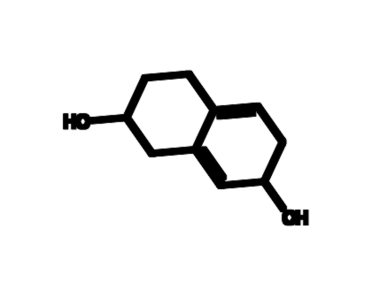 OC1C=C2CC(O)CCC2=CC1